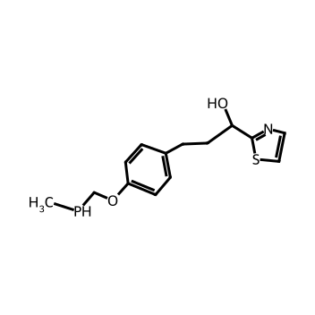 CPCOc1ccc(CCC(O)c2nccs2)cc1